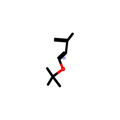 C=C(C)/C=C/OC(C)(C)C